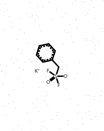 O=S([O-])(F)(F)Cc1ccccc1.[K+]